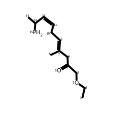 CCOCC(=O)C/C(C)=C/C/C=C\C(C)P